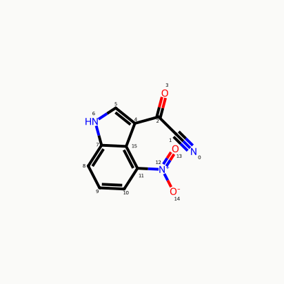 N#CC(=O)c1c[nH]c2cccc([N+](=O)[O-])c12